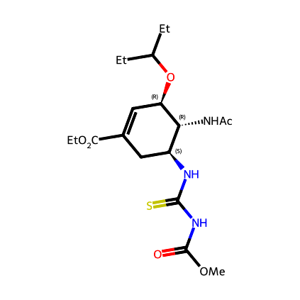 CCOC(=O)C1=C[C@@H](OC(CC)CC)[C@H](NC(C)=O)[C@@H](NC(=S)NC(=O)OC)C1